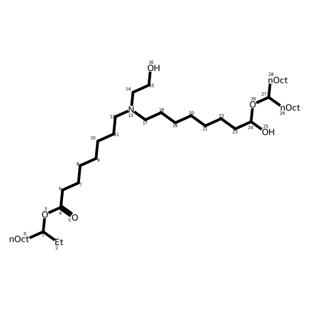 CCCCCCCCC(CC)OC(=O)CCCCCCCN(CCO)CCCCCCCC(O)OC(CCCCCCCC)CCCCCCCC